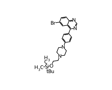 CC(C)(C)[Si](C)(C)OCCN1CCN(c2ccc(-c3ncnc4ccc(Br)cc34)cc2)CC1